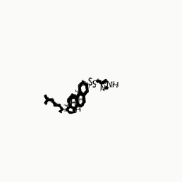 CC(C)CCCC(C)[C@H]1CC[C@H]2[C@@H]3CC=C4C[C@@H](SSCc5c[nH]cn5)CC[C@]4(C)[C@H]3CC[C@]12C